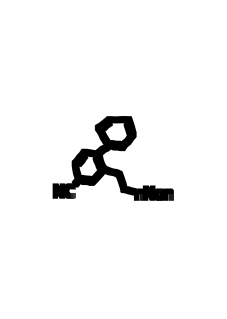 CCCCCCCCCCCc1cc(C#N)ccc1-c1ccccc1